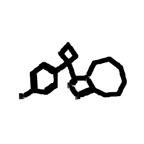 Brc1ccc(C2(c3nnc4n3CCCCCC4)CCC2)cc1